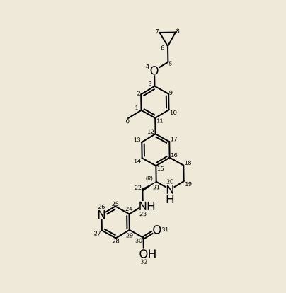 Cc1cc(OCC2CC2)ccc1-c1ccc2c(c1)CCN[C@H]2CNc1cnccc1C(=O)O